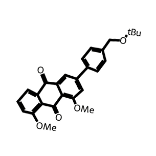 COc1cccc2c1C(=O)c1c(OC)cc(-c3ccc(COC(C)(C)C)cc3)cc1C2=O